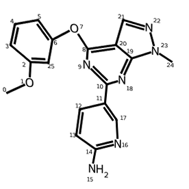 COc1cccc(Oc2nc(-c3ccc(N)nc3)nc3c2cnn3C)c1